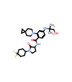 CC(C)(CO)Nc1ccc(C(=O)NC2CCN(C3CCC(F)(F)CC3)C2=O)c(N2CCC3(CC2)CC3)c1